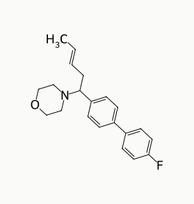 C/C=C/CC(c1ccc(-c2ccc(F)cc2)cc1)N1CCOCC1